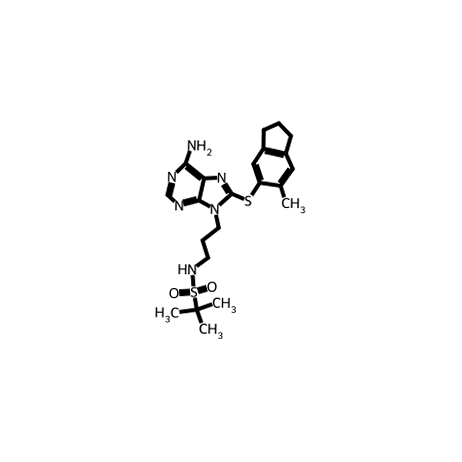 Cc1cc2c(cc1Sc1nc3c(N)ncnc3n1CCCNS(=O)(=O)C(C)(C)C)CCC2